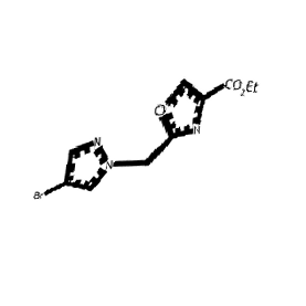 CCOC(=O)c1coc(Cn2cc(Br)cn2)n1